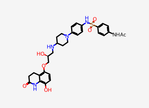 CC(=O)Nc1ccc(S(=O)(=O)Nc2ccc(N3CCC(NC[C@H](O)COc4ccc(O)c5c4CCC(=O)N5)CC3)cc2)cc1